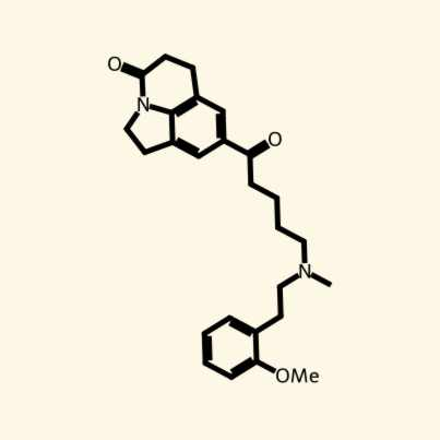 COc1ccccc1CCN(C)CCCCC(=O)c1cc2c3c(c1)CCN3C(=O)CC2